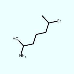 CCC(C)CCCC(N)O